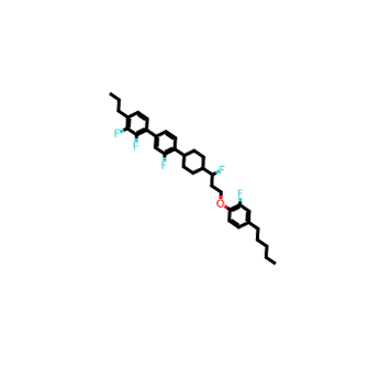 CCCCCc1ccc(OCCC(F)C2CCC(c3ccc(-c4ccc(CCC)c(F)c4F)cc3F)CC2)c(F)c1